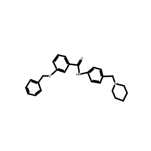 O=C(Nc1ccc(CN2CCCCC2)cc1)c1cccc(OCc2ccccc2)c1